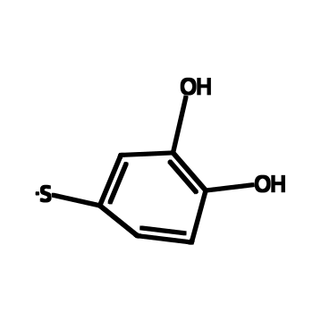 Oc1ccc([S])cc1O